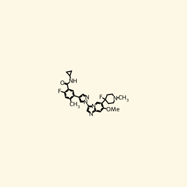 COc1cc2ncc(-n3cc(-c4cc(C(=O)NC5CC5)c(F)cc4C)cn3)n2cc1C1(F)CCN(C)CC1